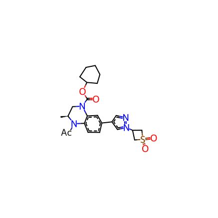 CC(=O)N1c2ccc(-c3cnn(C4CS(=O)(=O)C4)c3)cc2N(C(=O)OC2CCCCC2)C[C@@H]1C